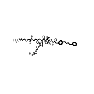 COCCOCC(=O)NCCCC[C@H](NC(=O)COCCOC)C(=O)N(C)C1(C(=O)ONC(=O)Cc2ccc(CCCCc3ccccc3)cc2)CC1